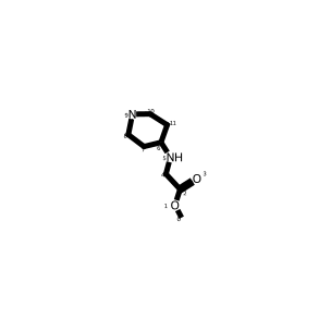 COC(=O)CNC1CC[N]CC1